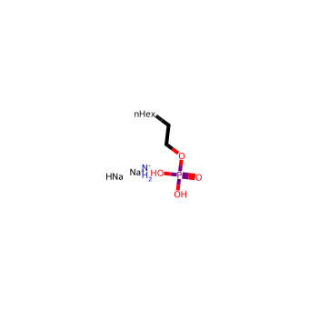 CCCCCCCCOP(=O)(O)O.[NH2-].[Na+].[NaH]